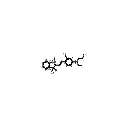 CCN(CCCl)c1ccc(/C=C/C2=[N+](C)c3ccccc3C2(C)C)c(C)c1